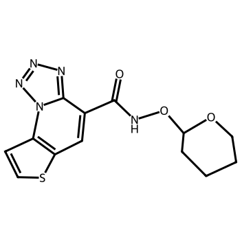 O=C(NOC1CCCCO1)c1cc2sccc2n2nnnc12